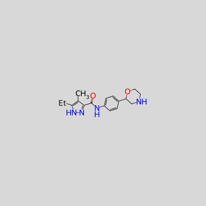 CCc1[nH]nc(C(=O)Nc2ccc(C3CNCCO3)cc2)c1C